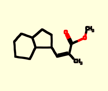 COC(=O)C(C)=CC1CCC2CCCCC12